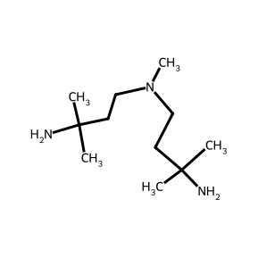 CN(CCC(C)(C)N)CCC(C)(C)N